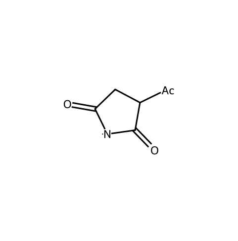 CC(=O)C1CC(=O)[N]C1=O